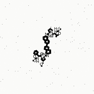 COC[C@H]1C[C@@H](c2nc3ccc4cc(-c5ccc6c(ccc7nc([C@@H]8C[C@H](C)CN8C(=O)C(NC(=O)OC)C(C)C)[nH]c76)c5)ccc4c3[nH]2)N(C(=O)[C@H](NC(=O)OC)c2ccccc2)C1